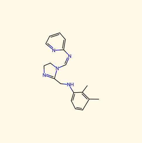 Cc1cccc(NCC2=NCCN2/C=N\c2ccccn2)c1C